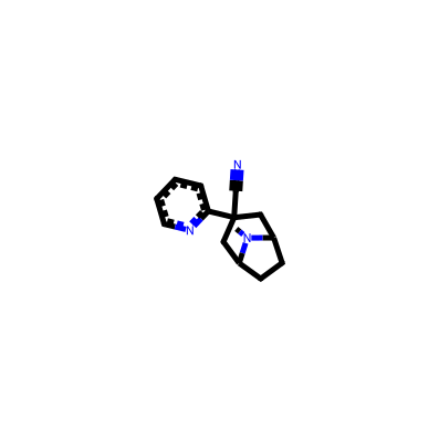 CN1C2CCC1CC(C#N)(c1ccccn1)C2